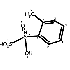 Cc1ccccc1[SH](=O)(O)S(=O)(=O)O